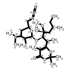 CC[C@H](C)C[C@@](C)(OC)[C@H](O[C@@H]1OC(CN=[N+]=[N-])CC(N(C)C)C1C)[C@@H](C)C1=C(C)C(=O)OC(C)(C)O1